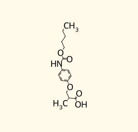 CCCCCOC(=O)Nc1ccc(OCC(C)C(=O)O)cc1